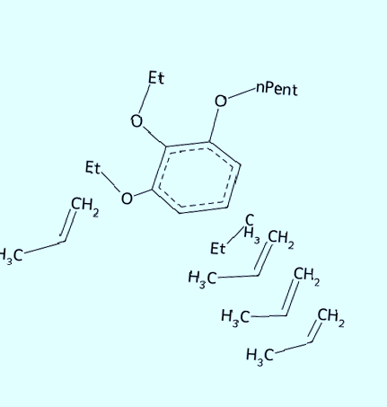 C=CC.C=CC.C=CC.C=CC.CCC.CCCCCOc1cccc(OCC)c1OCC